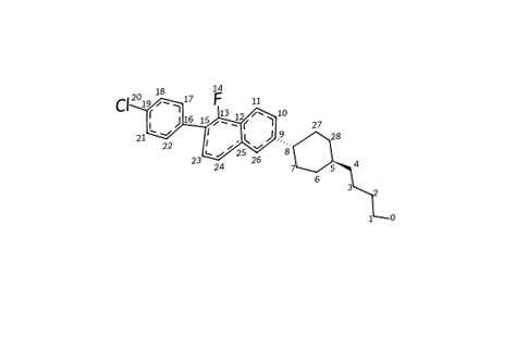 CCCCC[C@H]1CC[C@H](c2ccc3c(F)c(-c4ccc(Cl)cc4)ccc3c2)CC1